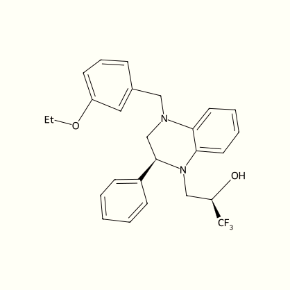 CCOc1cccc(CN2C[C@H](c3ccccc3)N(C[C@@H](O)C(F)(F)F)c3ccccc32)c1